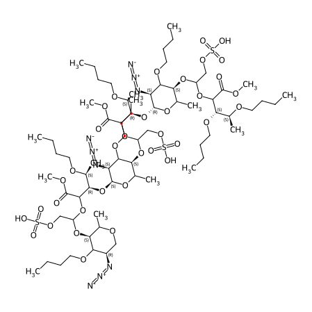 CCCCOC1[C@@H](OC(COS(=O)(=O)O)OC(C(=O)OC)[C@H](O[C@@H]2OC(C)[C@H](OC(COS(=O)(=O)O)OC(C(=O)OC)[C@H](O[C@H]3OC(C)[C@H](OC(COS(=O)(=O)O)OC(C(=O)OC)[C@@H](OCCCC)[C@H](C)OCCCC)C(OCCCC)[C@@H]3N=[N+]=[N-])[C@H](C)OCCCC)C(OCCCC)[C@@H]2N=[N+]=[N-])[C@H](C)OCCCC)C(C)OC[C@H]1N=[N+]=[N-]